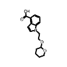 O=C(O)c1cccc2c1ccn2CCOC1CCCCO1